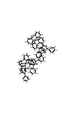 c1ccc(-c2ccc(-c3cccc4c3C3(c5ccccc5Oc5ccccc53)c3c(-c5nc(-c6ccccc6)nc(-c6cccc(-c7cccc(-c8cccc9c8-c8c(-c%10nc(-c%11ccccc%11)nc(-c%11ccccc%11)n%10)cccc8C98c9ccccc9Oc9ccccc98)c7)c6)n5)cccc3-4)cc2)cc1